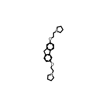 c1cc2c(cc1OCCN1CCCC1)Cc1ccc(OCCN3CCCC3)cc1-2